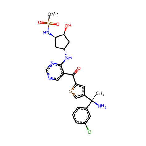 COS(=O)(=O)N[C@@H]1C[C@@H](Nc2ncncc2C(=O)c2cc([C@@](C)(N)c3cccc(Cl)c3)cs2)C[C@@H]1O